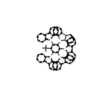 FC(F)(F)c1c(-n2c3ccccc3c3ccccc32)c(N2c3ccccc3C3C=CC=CC32)c(-n2c3ccccc3c3ccccc32)c(-n2c3ccccc3c3ccccc32)c1-n1c2ccccc2c2ccccc21